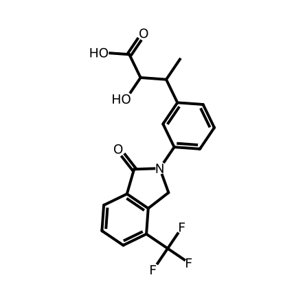 CC(c1cccc(N2Cc3c(cccc3C(F)(F)F)C2=O)c1)C(O)C(=O)O